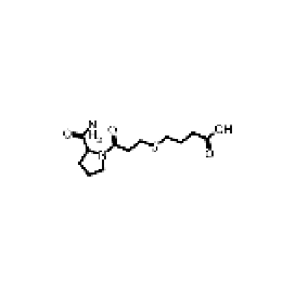 NC(=O)C1CCCN1C(=O)CCSCCCC(=O)O